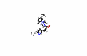 Cc1ccc(C(F)(F)F)cc1N1CCN(C(=O)[C@H]2C[C@H]2c2ccc(C(F)(F)F)nc2)CC1